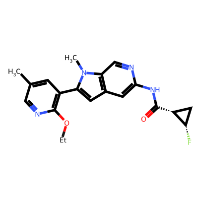 CCOc1ncc(C)cc1-c1cc2cc(NC(=O)[C@@H]3C[C@@H]3F)ncc2n1C